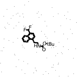 CC(C)(C)OC(=O)NCCc1ccc(C(F)F)c2ccccc12